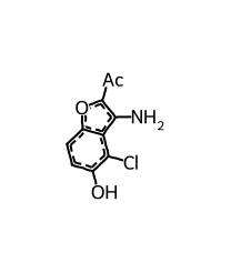 CC(=O)c1oc2ccc(O)c(Cl)c2c1N